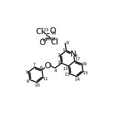 Cc1cc(COc2ccccc2)c2ccccc2n1.O=S(=O)(Cl)Cl